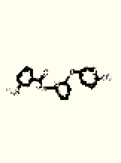 Nc1cccc(C(=O)Nc2cccc(Oc3ccc(C(F)(F)F)nc3)n2)c1